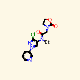 CCN(C(=O)CN1CCOC1=O)c1cn(-c2cccnc2)nc1Cl